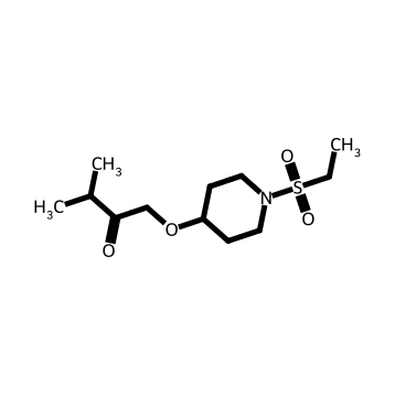 CCS(=O)(=O)N1CCC(OCC(=O)C(C)C)CC1